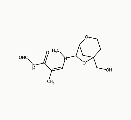 C/C(=C/N(C)C1OC2(CO)CCOC1C2)C(=O)NC=O